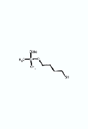 CO[Si](C)(C)OCCCCS